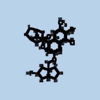 CC(C)(C)OC(=O)N1C2CCC1CN(c1nc(OC[C@@]34CCCN3C[C@H](F)C4)nc3c(Cl)c(Br)c(C(F)(F)F)cc13)C2